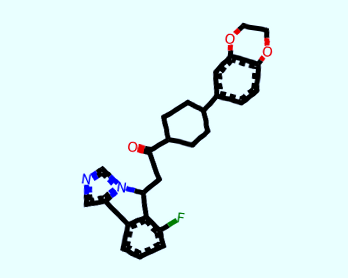 O=C(CC1c2c(F)cccc2-c2cncn21)C1CCC(c2ccc3c(c2)OCCO3)CC1